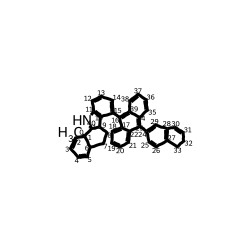 CC12C=CC=CC1CCC1c3c(cccc3-c3c4ccccc4c(-c4ccc5c(c4)C=CCC5)c4ccccc34)NC12